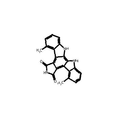 Cc1cccc2[nH]c3c4[nH]c5cccc(C)c5c4c4c(c3c12)C(=O)NC4=O